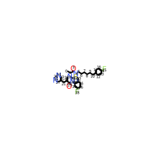 CC(C(=O)NCCCCCCc1ccc(F)cc1)n1cc(Cc2cncnc2)c(=O)nc1SCc1ccc(F)cc1